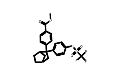 COC(=O)c1ccc(C2(c3ccc(OS(=O)(=O)C(F)(F)F)cc3)CC3CCC2C3)cc1